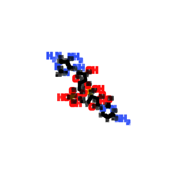 Nc1ccn(C2O[C@H](COP(=O)(O)O)[C@@H](P(=O)(O)OCC3C[C@@H](O)[C@H](Nc4ncnc(N)c4N)O3)[C@H]2O)c(=O)n1